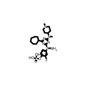 CN1CCC(N(C)c2nc(C3CCCCCC3)nc(N(N)c3ccc(OP(=O)(O)O)c(F)c3)n2)CC1